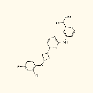 CNC(=O)c1cccc(Nc2nccc(N3CC(Oc4ccc(F)cc4Cl)C3)n2)c1